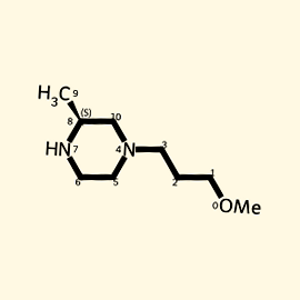 COCCCN1CCN[C@@H](C)C1